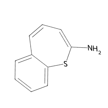 NC1=CC=Cc2ccccc2S1